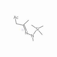 CC(=O)C/C(C)=N/N(C)[Si](C)(C)C